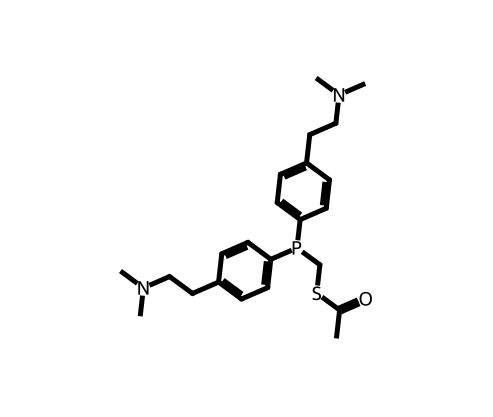 CC(=O)SCP(c1ccc(CCN(C)C)cc1)c1ccc(CCN(C)C)cc1